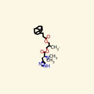 [CH2]C(COC(=O)CCC12CC3CC(CC(C3)C1)C2)COC(=O)[C@H](Cc1c[nH]cn1)N(C)C